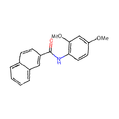 COc1ccc(NC(=O)c2ccc3ccccc3c2)c(OC)c1